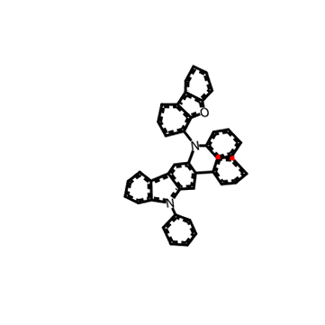 c1ccc(-c2cc3c(cc2N(c2ccccc2)c2cccc4c2oc2ccccc24)c2ccccc2n3-c2ccccc2)cc1